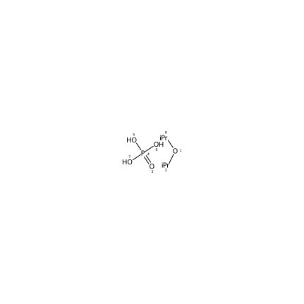 CC(C)OC(C)C.O=P(O)(O)O